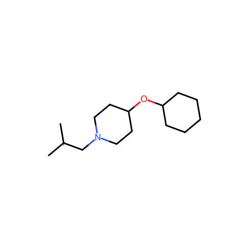 C[C](C)CN1CCC(OC2CCCCC2)CC1